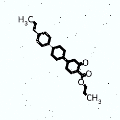 CCCOC(=O)C1CCC(C2CCC([C@H]3CC[C@H](CCC)CC3)CC2)CC1=O